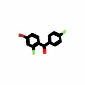 O=C(c1ccc(F)cc1)c1ccc(Br)cc1F